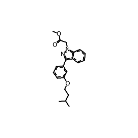 COC(=O)Cn1nc(-c2cccc(OCCC(C)C)c2)c2ccccc21